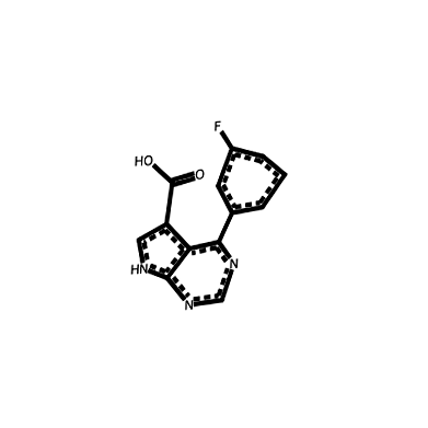 O=C(O)c1c[nH]c2ncnc(-c3cccc(F)c3)c12